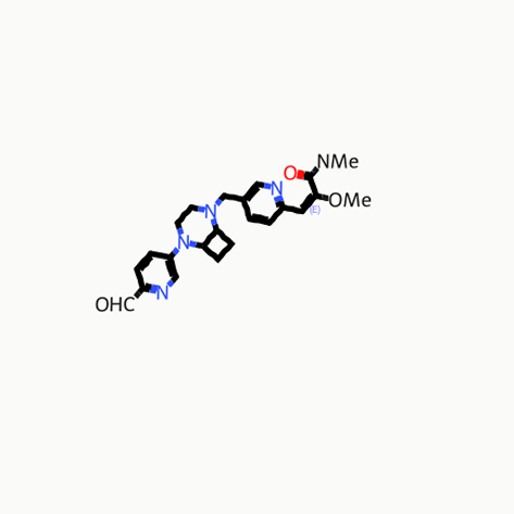 CNC(=O)/C(=C\c1ccc(CN2CCN(c3ccc(C=O)nc3)C3CCC32)cn1)OC